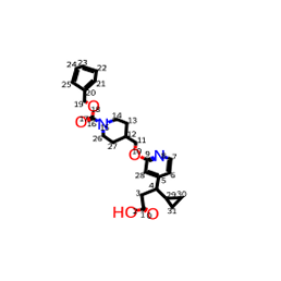 O=C(O)CC(c1ccnc(OCC2CCN(C(=O)OCc3ccccc3)CC2)c1)C1CC1